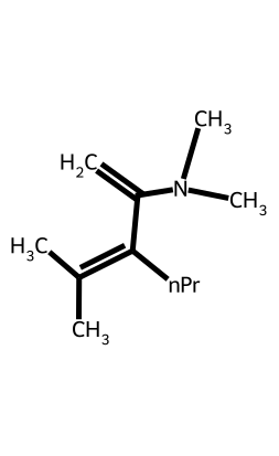 C=C(C(CCC)=C(C)C)N(C)C